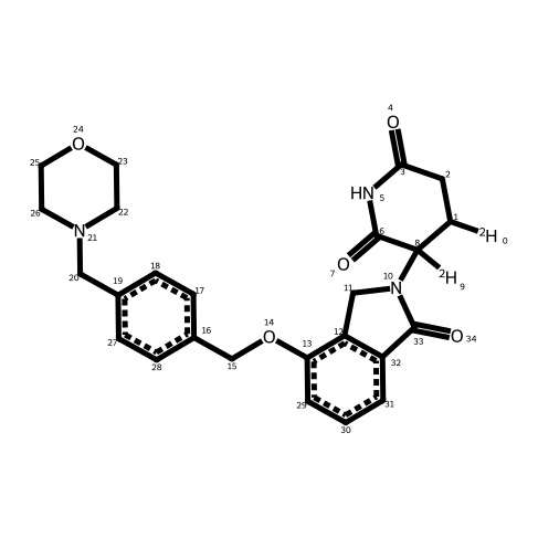 [2H]C1CC(=O)NC(=O)C1([2H])N1Cc2c(OCc3ccc(CN4CCOCC4)cc3)cccc2C1=O